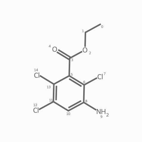 CCOC(=O)c1c(Cl)c(N)cc(Cl)c1Cl